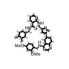 COc1ccc(CNc2ncnc3ccc(-n4cc(CNc5ncccc5C(=O)NCc5ccc(F)c(F)c5)nn4)cc23)c(OC)c1